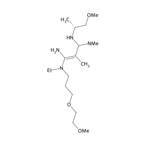 CCN(CCCOCCOC)/C(N)=C(\C)C(NC)N[C@H](C)COC